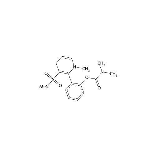 CNS(=O)(=O)C1=C(c2ccccc2OC(=O)N(C)C)N(C)C=CC1